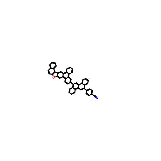 N#Cc1ccc(-c2cc3c4ccccc4c(-c4ccc5c(c4)c4ccccc4c4cc6c(cc54)oc4ccc5ccccc5c46)cc3c3ccccc23)cc1